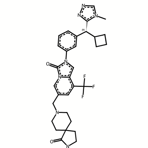 Cn1cnnc1[C@@H](c1cccc(-n2cc3c(C(F)(F)F)cc(CN4CCC5(CCNC5=O)CC4)cn3c2=O)c1)C1CCC1